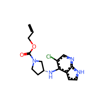 C=CCOC(=O)N1CC[C@@H](Nc2c(Cl)cnc3[nH]ccc23)C1